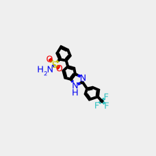 NS(=O)(=O)c1ccccc1-c1ccc2[nH]c(-c3ccc(C(F)(F)F)cc3)nc2c1